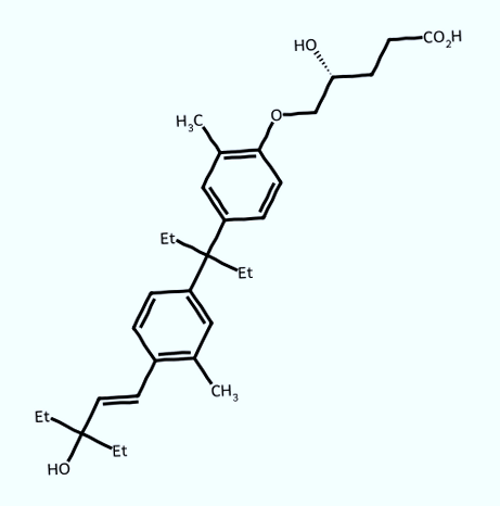 CCC(O)(/C=C/c1ccc(C(CC)(CC)c2ccc(OC[C@H](O)CCC(=O)O)c(C)c2)cc1C)CC